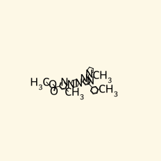 CCOC(=O)c1cnc(N2CCN(c3cc(-c4cccc(C)c4)nc(N4CCCC4C)n3)CC2)c(C)c1